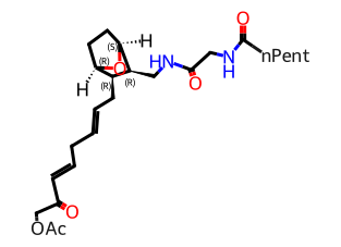 CCCCCC(=O)NCC(=O)NC[C@H]1[C@@H](CC=CCC=CC(=O)COC(C)=O)[C@H]2CC[C@@H]1O2